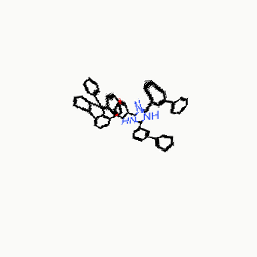 c1ccc(-c2cccc(C3N=C(c4cccc(-c5cccc6c5C(c5ccccc5)(c5ccccc5)c5ccccc5-6)c4)NC(c4cccc(-c5ccccc5)c4)N3)c2)cc1